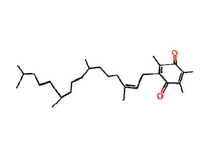 CC(=CCC1=C(C)C(=O)C(C)=C(C)C1=O)CCCC(C)CCCC(C)CCCC(C)C